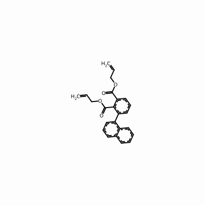 C=CCOC(=O)c1cccc(-c2cccc3ccccc23)c1C(=O)OCC=C